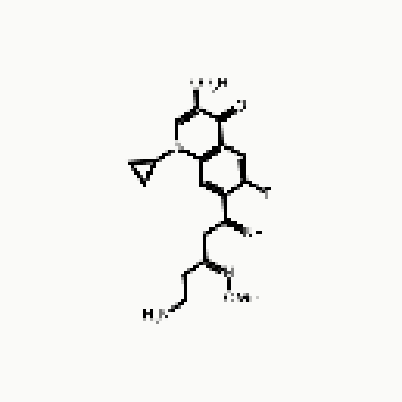 CON=C(CCN)CC(=N)c1cc2c(cc1F)c(=O)c(C(=O)O)cn2C1CC1